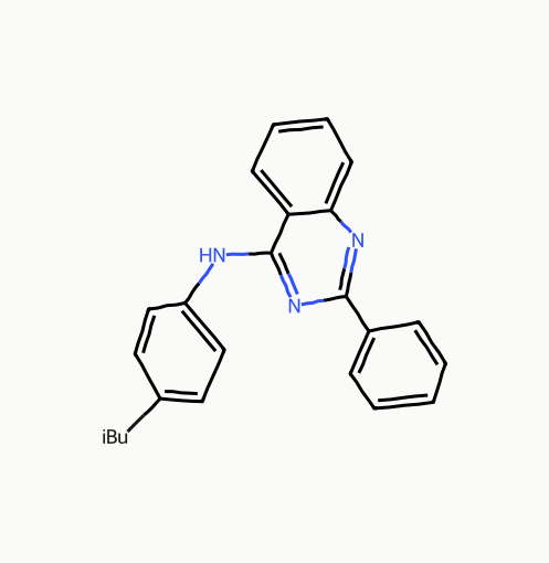 CCC(C)c1ccc(Nc2nc(-c3ccccc3)nc3ccccc23)cc1